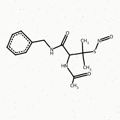 CC(=O)NC(C(=O)NCc1ccccc1)C(C)(C)SN=O